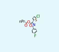 CCCC(=O)Oc1oc(-c2ccc(F)cc2)nc1-c1ccc(Cl)s1